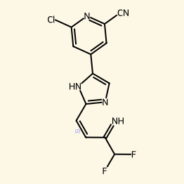 N#Cc1cc(-c2cnc(/C=C\C(=N)C(F)F)[nH]2)cc(Cl)n1